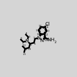 CCN(CC)C(CCn1nc(N)c2cc(Cl)ccc21)CC(C)C